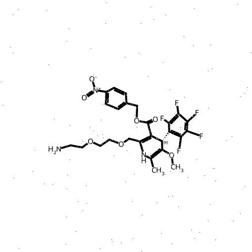 COC1=C(C)NC(COCCOCCN)=C(C(=O)OCc2ccc([N+](=O)[O-])cc2)[C@@H]1c1c(F)c(F)c(F)c(F)c1F